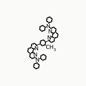 Cc1cc(-c2ccc3ccc4ccc(N(c5ccccc5)c5ccccc5)nc4c3n2)ccc1-c1ccc2ccc3ccc(N(c4ccccc4)c4ccccc4)nc3c2n1